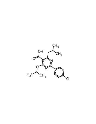 CC(C)Cc1nc(-c2ccc(Cl)cc2)nc(OC(C)C)c1C(=O)O